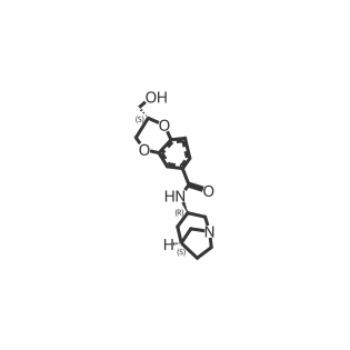 O=C(N[C@@H]1C[C@@H]2CCN(C2)C1)c1ccc2c(c1)OC[C@H](CO)O2